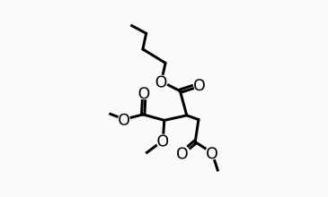 CCCCOC(=O)C(CC(=O)OC)C(OC)C(=O)OC